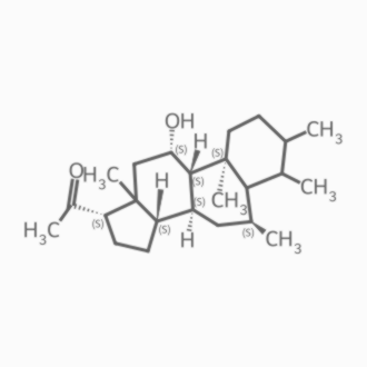 CC(=O)[C@H]1CC[C@H]2[C@@H]3C[C@H](C)C4C(C)C(C)CC[C@]4(C)[C@H]3[C@@H](O)CC12C